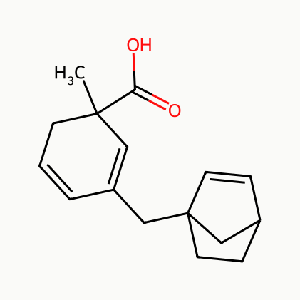 CC1(C(=O)O)C=C(CC23C=CC(CC2)C3)C=CC1